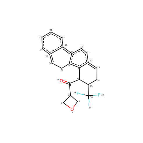 O=C(C1COC1)C1c2c3c(ccc2=CCC1C(F)(F)F)=c1ccccc1=CC3